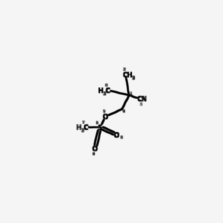 CC(C)(C#N)COS(C)(=O)=O